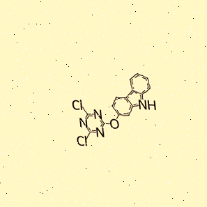 Clc1nc(Cl)nc(Oc2ccc3c(c2)[nH]c2ccccc23)n1